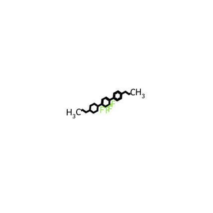 CCCc1ccc(C2=CC=C(C3CCC(CCC)CC3)C(F)(F)C2(F)F)cc1